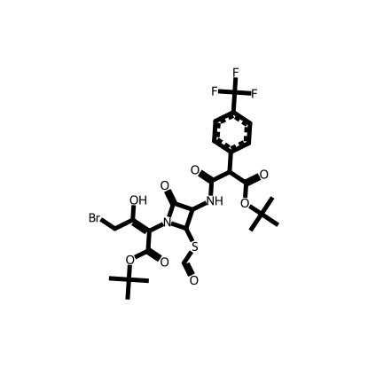 CC(C)(C)OC(=O)C(=C(O)CBr)N1C(=O)C(NC(=O)C(C(=O)OC(C)(C)C)c2ccc(C(F)(F)F)cc2)C1SC=O